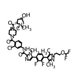 Cc1nn(CCOC(F)F)c(C)c1-c1ccc(-c2cnc(C(=O)Nc3ccc(C(=O)N4CCN(C(=O)[C@@H]5C[C@@H](O)C[N+]5(C)C)CC4)c(Cl)c3)n2C)c(F)c1F